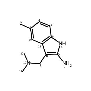 Cc1ccc2[nH]c(N)c(CN(C)C)c2c1